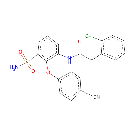 N#Cc1ccc(Oc2c(NC(=O)Cc3ccccc3Cl)cccc2S(N)(=O)=O)cc1